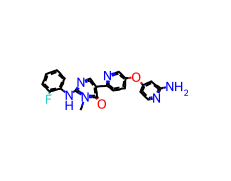 Cn1c(Nc2ccccc2F)ncc(-c2ccc(Oc3ccnc(N)c3)cn2)c1=O